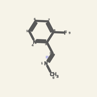 C/N=C/c1ncccc1F